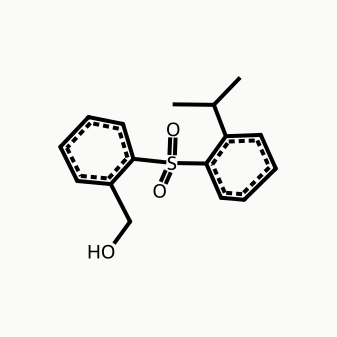 CC(C)c1ccccc1S(=O)(=O)c1ccccc1CO